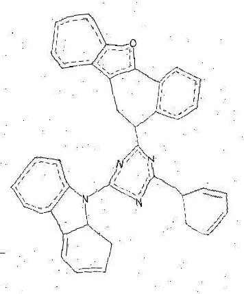 C1=CCC(c2nc(C3Cc4c(oc5ccccc45)-c4ccccc43)nc(N3c4ccccc4C4=CC=CCC43)n2)C=C1